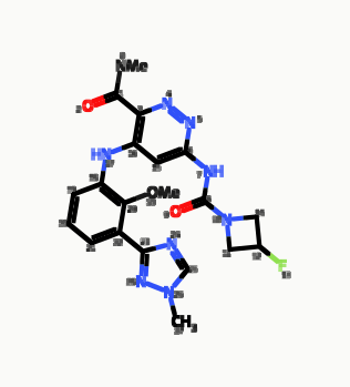 CNC(=O)c1nnc(NC(=O)N2CC(F)C2)cc1Nc1cccc(-c2ncn(C)n2)c1OC